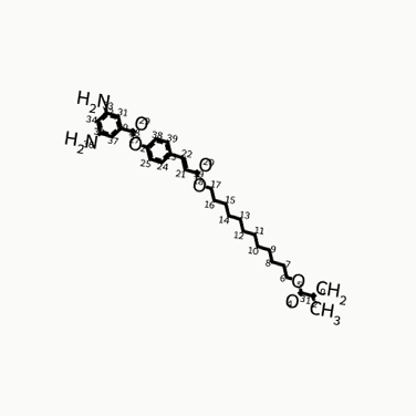 C=C(C)C(=O)OCCCCCCCCCCCCOC(=O)/C=C/c1ccc(OC(=O)c2cc(N)cc(N)c2)cc1